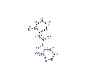 Cc1cc(NC(=O)c2cnn3cccnc23)c(Br)cn1